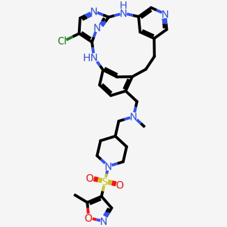 Cc1oncc1S(=O)(=O)N1CCC(CN(C)Cc2ccc3cc2CCc2cncc(c2)Nc2ncc(Cl)c(n2)N3)CC1